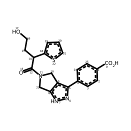 O=C(O)c1ccc(-c2n[nH]c3c2CN(C(=O)C(CCO)c2cccs2)C3)cc1